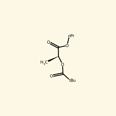 CCCOC(=O)[C@H](C)OC(=O)C(C)(C)C